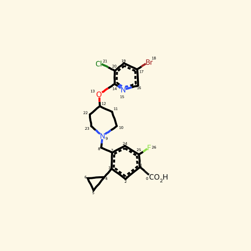 O=C(O)c1cc(C2CC2)c(CN2CCC(Oc3ncc(Br)cc3Cl)CC2)cc1F